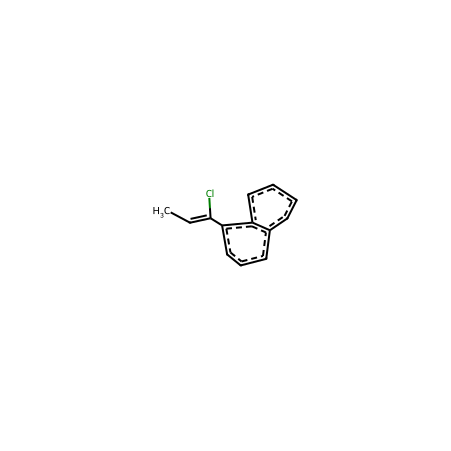 C/C=C(\Cl)c1cccc2ccccc12